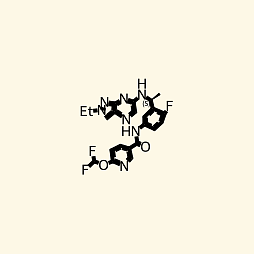 CCn1cc2ncc(N[C@@H](C)c3cc(NC(=O)c4ccc(OC(F)F)nc4)ccc3F)nc2n1